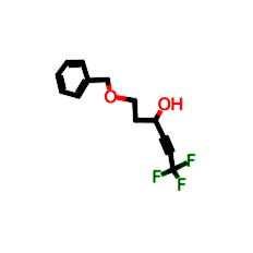 OC(C#CC(F)(F)F)CCOCc1ccccc1